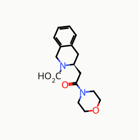 O=C(C[C@@H]1Cc2ccccc2CN1C(=O)O)N1CCOCC1